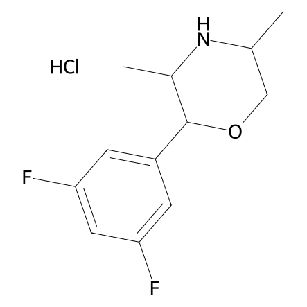 CC1COC(c2cc(F)cc(F)c2)C(C)N1.Cl